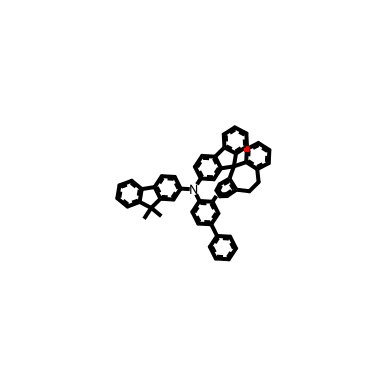 Cc1cc(-c2ccccc2)ccc1N(c1ccc2c(c1)C(C)(C)c1ccccc1-2)c1ccc2c(c1)C1(c3ccccc3CCc3ccccc31)c1ccccc1-2